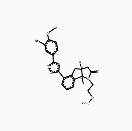 CCCCCCCOCCN1C(=O)C[C@H]2Cc3c(-c4noc(-c5ccc(OC(C)C)c(C#N)c5)n4)cccc3[C@H]21